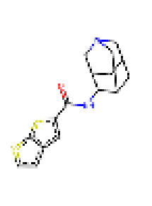 O=C(NC1C2CC3CC1CN(C3)C2)c1cc2ccsc2s1